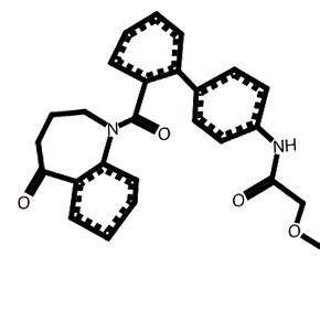 COCC(=O)Nc1ccc(-c2ccccc2C(=O)N2CCCC(=O)c3ccccc32)cc1